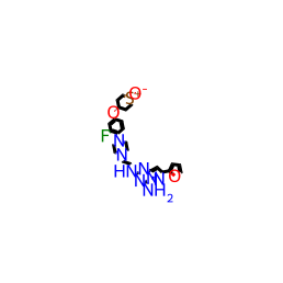 Nc1nc(NCCN2CCN(c3ccc(O[C@H]4CC[S@@+]([O-])CC4)cc3F)CC2)nc2cc(-c3ccco3)nn12